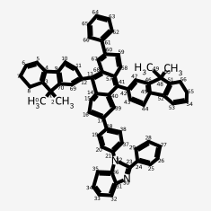 CC1(C)C2=C(C=CCC2)c2ccc(-c3c4ccc(-c5ccc(-n6c(-c7ccccc7)nc7ccccc76)cc5)cc4c(-c4ccc5c(c4)C(C)(C)C4=C5C=CCC4)c4ccc(-c5ccccc5)cc34)cc21